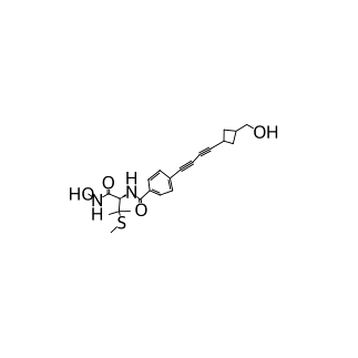 CSC(C)(C)[C@H](NC(=O)c1ccc(C#CC#CC2CC(CO)C2)cc1)C(=O)NO